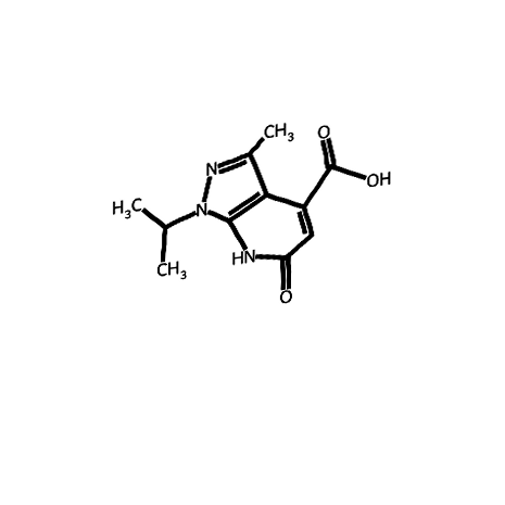 Cc1nn(C(C)C)c2[nH]c(=O)cc(C(=O)O)c12